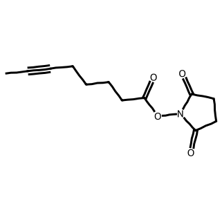 CC#CCCCCC(=O)ON1C(=O)CCC1=O